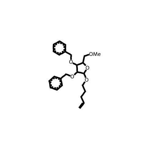 C=CCCCOC1OC(COC)C(OCc2ccccc2)C1OCc1ccccc1